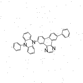 c1ccc(-c2ccc3c4ccc(N5c6ccccc6N(c6ccccc6)c6ccccc65)cc4c4nccnc4c3c2)cc1